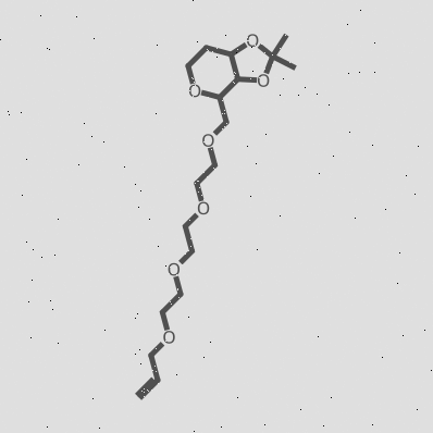 C=CCOCCOCCOCCOCC1OCCC2OC(C)(C)OC12